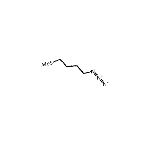 CSCCCCN=[N+]=[N-]